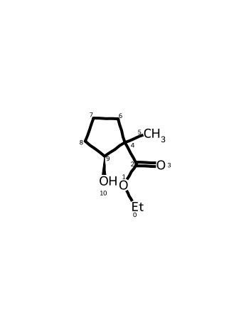 CCOC(=O)C1(C)CCC[C@@H]1O